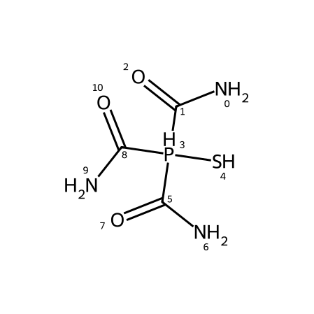 NC(=O)[PH](S)(C(N)=O)C(N)=O